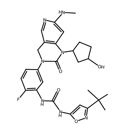 CNc1cc2c(cn1)CN(c1ccc(F)c(NC(=O)Nc3cc(C(C)(C)C)no3)c1)C(=O)N2C1CCC(O)C1